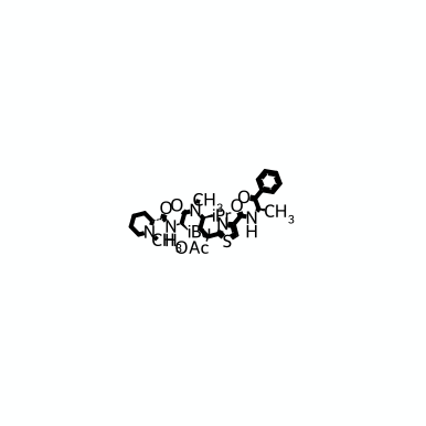 CC[C@H](C)[C@H](NC(=O)[C@H]1CCCCN1C)C(=O)N(C)[C@H](C[C@@H](OC(C)=O)c1nc(C(=O)N[C@H](C)C(=O)c2ccccc2)cs1)C(C)C